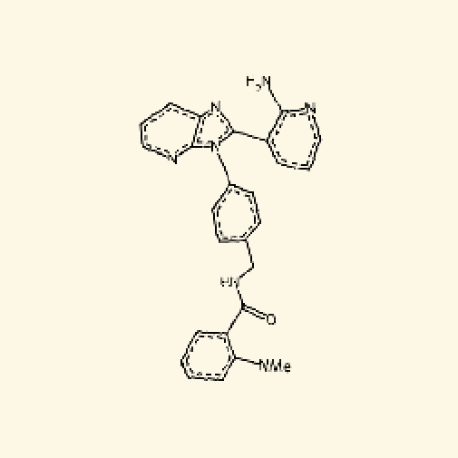 CNc1ccccc1C(=O)NCc1ccc(-n2c(-c3cccnc3N)nc3cccnc32)cc1